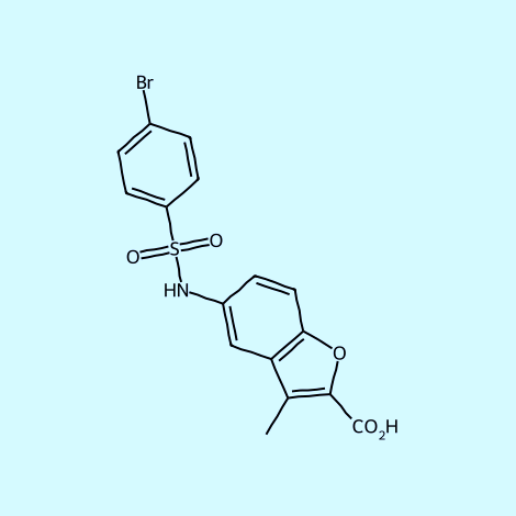 Cc1c(C(=O)O)oc2ccc(NS(=O)(=O)c3ccc(Br)cc3)cc12